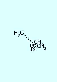 CCCCCCCCCCC(=O)C(CC)C(CC)c1ccccc1